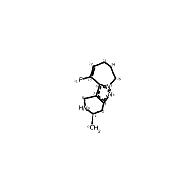 C[C@@H]1Cc2nn3c(c2CN1)C(F)=CCCC3